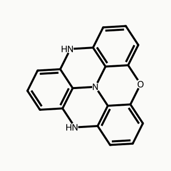 c1cc2c3c(c1)Nc1cccc4c1N3c1c(cccc1O4)N2